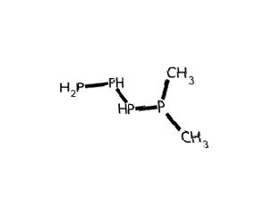 CP(C)PPP